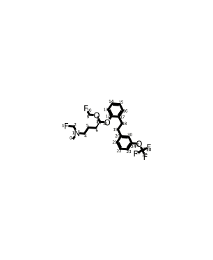 CN(CF)CCC[C@@H](OCF)Oc1ccccc1CCc1cccc(OC(F)(F)F)c1